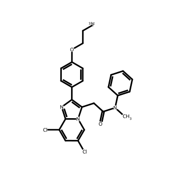 CN(C(=O)Cc1c(-c2ccc(OCC[18F])cc2)nc2c(Cl)cc(Cl)cn12)c1ccccc1